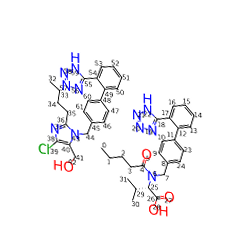 CCCCC(=O)N(Cc1ccc(-c2ccccc2-c2nnn[nH]2)cc1)[C@H](C(=O)O)C(C)C.CCCCc1nc(Cl)c(CO)n1Cc1ccc(-c2ccccc2-c2nnn[nH]2)cc1